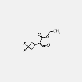 CCOC(=O)C(C=O)C1CC(F)(F)C1